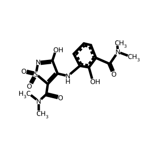 CN(C)C(=O)C1=C(Nc2cccc(C(=O)N(C)C)c2O)C(O)=NS1(=O)=O